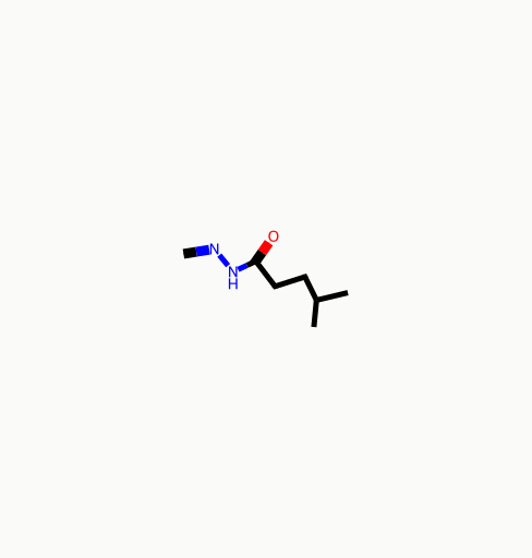 C=NNC(=O)CCC(C)C